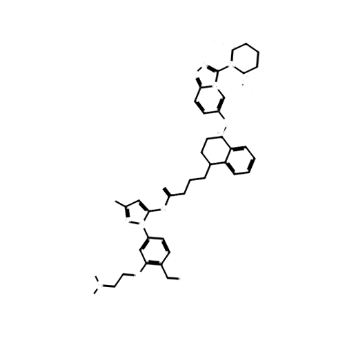 C[C@@H]1CCC[C@H](C)N1c1nnc2ccc(O[C@@H]3CCC(CCCC(=O)Nc4cc(C(C)(C)C)nn4-c4ccc(CO)c(OCCN(C)C)c4)c4ccccc43)cn12